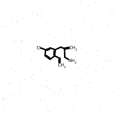 C=Cc1ccc(Cl)cc1CC(=C)CN